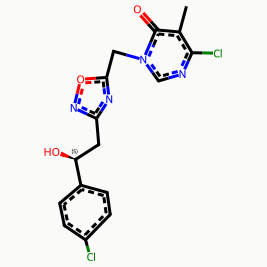 Cc1c(Cl)ncn(Cc2nc(C[C@H](O)c3ccc(Cl)cc3)no2)c1=O